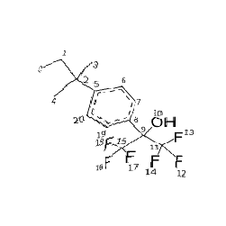 CCC(C)(C)c1ccc(C(O)(C(F)(F)F)C(F)(F)F)cc1